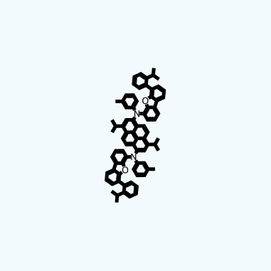 Cc1cccc(N(c2cc(C(C)C)c3ccc4c(N(c5cccc(C)c5)c5cccc6c5oc5c(-c7ccccc7C(C)C)cccc56)cc(C(C)C)c5ccc2c3c54)c2cccc3c2oc2c(-c4ccccc4C(C)C)cccc23)c1